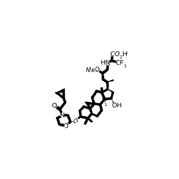 COC(CNC(C(=O)O)C(F)(F)F)C[C@@H](C)[C@H]1C[C@H](O)[C@@]2(C)C3CCC4C(C)(C)C(O[C@H]5CN(C(=O)CC6CC6)CCO5)CCC45CC35CCC12C